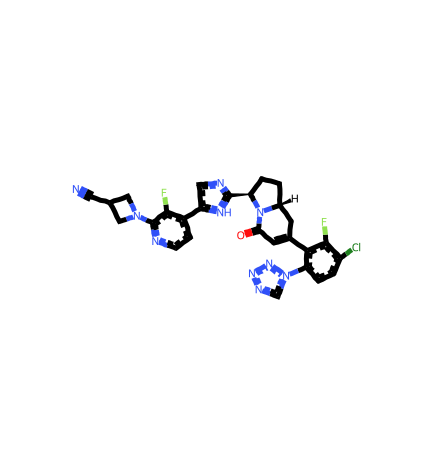 N#CC1CN(c2nccc(-c3cnc([C@H]4CC[C@@H]5CC(c6c(-n7cnnn7)ccc(Cl)c6F)=CC(=O)N54)[nH]3)c2F)C1